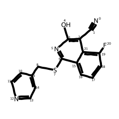 N#Cc1c(O)nc(SCc2ccncc2)c2cccc(F)c12